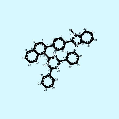 Cn1c(-c2ccc(-c3ccc4ccccc4c3-c3nc(-c4ccccc4)nc(-c4ccccc4)n3)cc2)nc2ccccc21